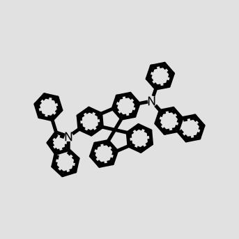 c1ccc(-c2cc3ccccc3n2-c2ccc3c(c2)C2(c4ccccc4-c4ccccc42)c2cc(N(c4ccccc4)c4ccc5ccccc5c4)ccc2-3)cc1